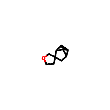 C1=CC2CC1CC21CCOC1